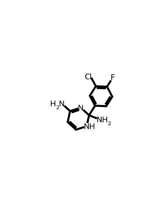 NC1=NC(N)(c2ccc(F)c(Cl)c2)NC=C1